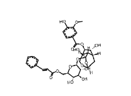 COc1cc(C(=O)O[C@H]2[C@H](O)[C@@H]3C[C@H]4OC[C@]2(O)[C@H]3[C@@H](O[C@@H]2O[C@H](COC(=O)/C=C/c3ccccc3)[C@@H](O)[C@H](O)[C@H]2O)O4)ccc1O